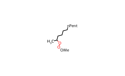 CCCCCCCCCC(C)OOOC